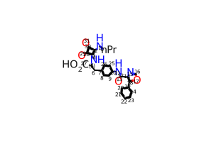 CCCNc1c(N[C@@H](Cc2ccc(NC(=O)c3ncoc3-c3ccccc3)cc2)C(=O)O)c(=O)c1=O